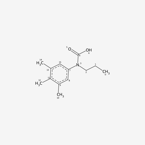 CCCN(C(=O)O)c1cc(C)c(C)c(C)c1